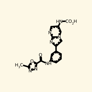 Cc1nnc(C(=O)Nc2cccc(-c3cn4cc(NC(=O)O)cnc4n3)c2)o1